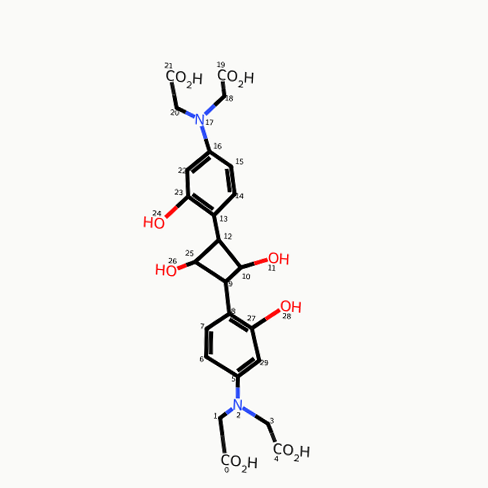 O=C(O)CN(CC(=O)O)c1ccc(C2C(O)C(c3ccc(N(CC(=O)O)CC(=O)O)cc3O)C2O)c(O)c1